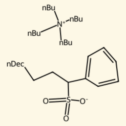 CCCCCCCCCCCCC(c1ccccc1)S(=O)(=O)[O-].CCCC[N+](CCCC)(CCCC)CCCC